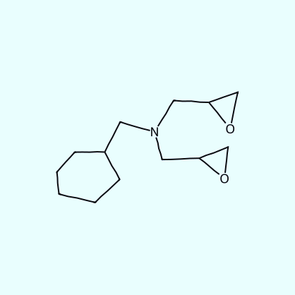 C1CCC(CN(CC2CO2)CC2CO2)CC1